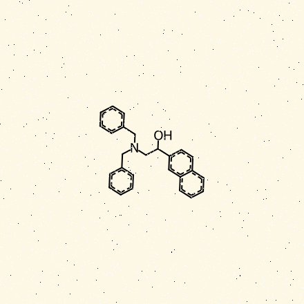 OC(CN(Cc1ccccc1)Cc1ccccc1)c1ccc2ccccc2c1